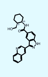 O=C(N[C@@H]1CCCC[C@@H]1CO)c1ccc2[nH]nc(-c3cnc4ccccc4c3)c2c1